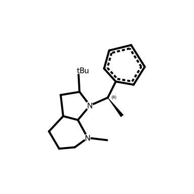 C[C@H](c1ccccc1)N1C2C(CCCN2C)CC1C(C)(C)C